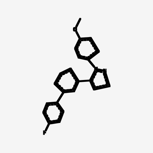 COc1ccc(-n2nccc2-c2cccc(-c3ccc(F)cc3)c2)cc1